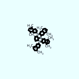 CC12CCC(C)(CC1)c1cc(N3c4cc5c(cc4B4c6cc7c(cc6N(c6ccc8c(c6)C6(C)CCC8(C)CC6)c6cccc3c64)C3(C)CCC7(C)CC3)C3(C)CCC5(C)CC3)ccc12